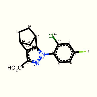 O=C(O)c1nn(-c2ccc(F)cc2Cl)c2c1C1CCC2C1